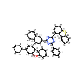 C1=CCC(c2cc(-c3cc(-c4nc(-c5ccccc5)nc(-c5cccc6sc7ccccc7c56)n4)cc4ccccc34)c3c(c2)oc2ccccc23)C=C1